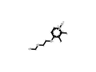 Cc1c(OCCOCF)cc[n+]([O-])c1C